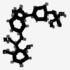 CS(C)(=O)=Nc1ncc(-c2n[nH]c3ccc(O[C@H](N)c4c(Cl)cncc4Cl)cc23)cn1